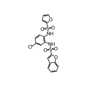 O=S(=O)(Nc1ccc(Cl)cc1NS(=O)(=O)c1cc2ccccc2o1)c1ccco1